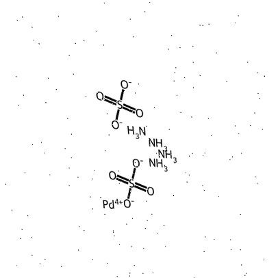 N.N.N.N.O=S(=O)([O-])[O-].O=S(=O)([O-])[O-].[Pd+4]